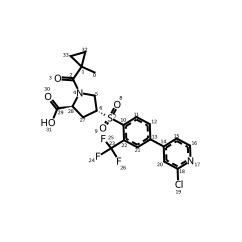 CC1(C(=O)N2C[C@H](S(=O)(=O)c3ccc(-c4ccnc(Cl)c4)cc3C(F)(F)F)C[C@H]2C(=O)O)CC1